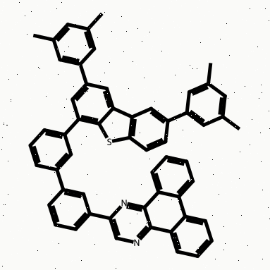 Cc1cc(C)cc(-c2ccc3sc4c(-c5cccc(-c6cccc(-c7cnc8c9ccccc9c9ccccc9c8n7)c6)c5)cc(-c5cc(C)cc(C)c5)cc4c3c2)c1